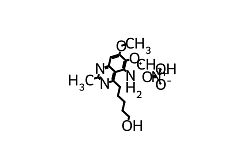 COc1cc2nc(C)nc(CCCCCO)c2c(N)c1OC.O=[N+]([O-])O